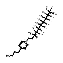 OCCCc1cc[n+](CCC(F)(F)C(F)(F)C(F)(F)C(F)(F)C(F)(F)C(F)(F)C(F)(F)C(F)(F)F)cc1